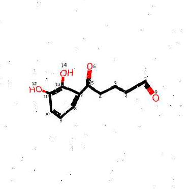 O=CCCCC(=O)c1cccc(O)c1O